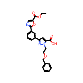 CCOC(=O)c1cnc(-c2cccc(-c3cc(C(=O)O)n(CCOCc4ccccc4)n3)c2)o1